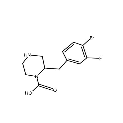 O=C(O)N1CCNCC1Cc1ccc(Br)c(F)c1